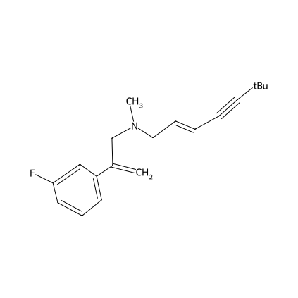 C=C(CN(C)CC=CC#CC(C)(C)C)c1cccc(F)c1